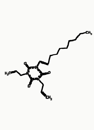 C=CCn1c(=O)n(C=CCCCCCCCC)c(=O)n(CC=C)c1=O